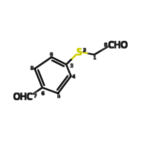 O=CCSc1ccc(C=O)cc1